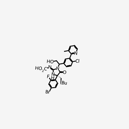 Cc1cccnc1-c1cc(C(CO)N2C(=O)[C@@](CC(C)(C)C)(c3ccc(Br)cc3F)NC2=NC(=O)O)ccc1Cl